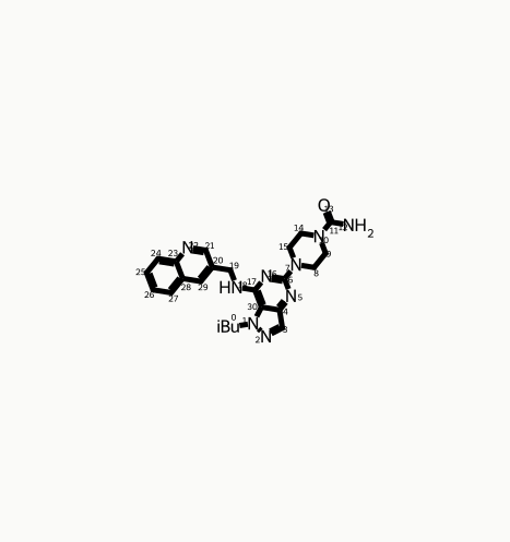 CCC(C)n1ncc2nc(N3CCN(C(N)=O)CC3)nc(NCc3cnc4ccccc4c3)c21